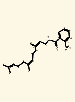 CC(C)=CCCC(C)=CCCC(C)=CCOC(=O)c1ccccc1N